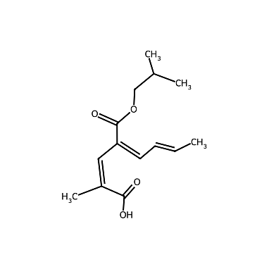 CC=CC=C(C=C(C)C(=O)O)C(=O)OCC(C)C